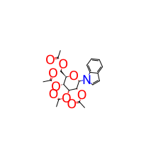 CC(=O)OC[C@H]1OC(n2ccc3ccccc32)[C@H](OC(C)=O)[C@@H](OC(C)=O)[C@@H]1OC(C)=O